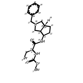 CC(C)C[C@H](NC(=O)OC(C)(C)C)C(=O)NC1CC[C@H]2CN(Cc3ccccc3)CC12